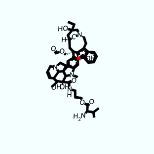 CCC1(O)C[C@H]2C[N@](CCc3c([nH]c4ccccc34)[C@@](COC=O)(c3cc4c(cc3CO)N(C)C3C45CCN4CC=C[C@](CC)(C45)[C@@H](O)[C@]3(O)C(=O)NCCCOC(=O)C(N)C(C)C)C2)C1